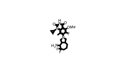 COc1c(F)c(N2CC3CCCC(F)(F)C(N)C3C2)c(C)c2c1c(=O)[nH]c(=O)n2C1CC1